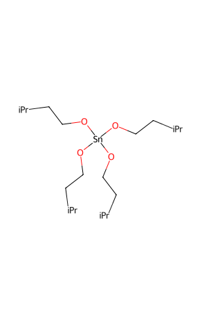 CC(C)CC[O][Sn]([O]CCC(C)C)([O]CCC(C)C)[O]CCC(C)C